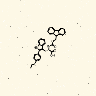 CCOc1ccc(-c2[nH]c3ccccc3c2C[C@H](NC(=O)OCC2c3ccccc3-c3ccccc32)C(=O)O)cc1